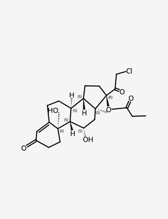 CCC(=O)O[C@]1(C(=O)CCl)CC[C@H]2[C@@H]3CCC4=CC(=O)CC[C@]4(CO)[C@H]3[C@@H](O)C[C@@]21C